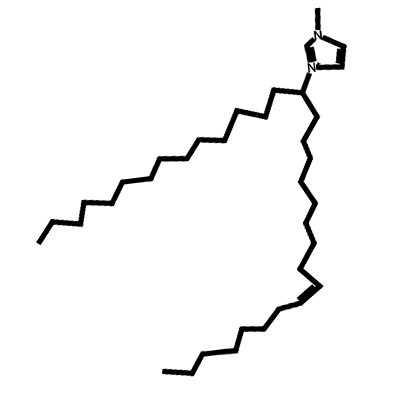 CCCCCCC/C=C\CCCCCCCCC(CCCCCCCCCCCCCC)[n+]1ccn(C)c1